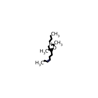 CC/C=C\CCC1CC1(C)CN(CCCC)C(C)=O